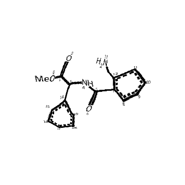 COC(=O)C(NC(=O)c1ccccc1N)c1ccccc1